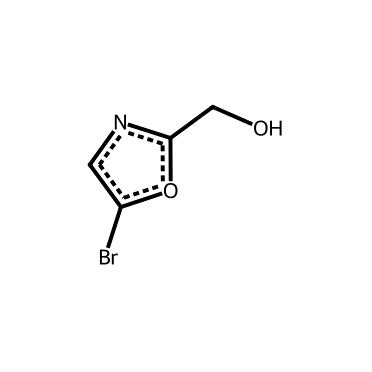 OCc1ncc(Br)o1